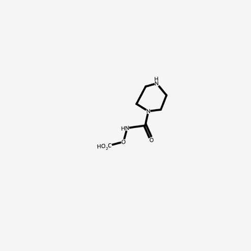 O=C(O)ONC(=O)N1CCNCC1